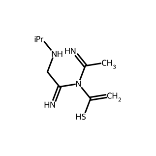 C=C(S)N(C(C)=N)C(=N)CNC(C)C